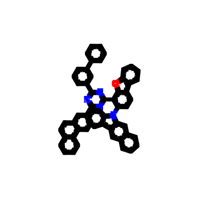 c1ccc(-c2cccc(-c3nc(-c4ccc5c(ccc6ccccc65)c4)nc(-c4c(-n5c6ccccc6c6cc7ccccc7cc65)ccc5c4oc4ccccc45)n3)c2)cc1